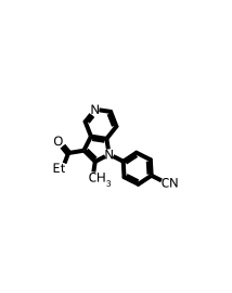 CCC(=O)c1c(C)n(-c2ccc(C#N)cc2)c2ccncc12